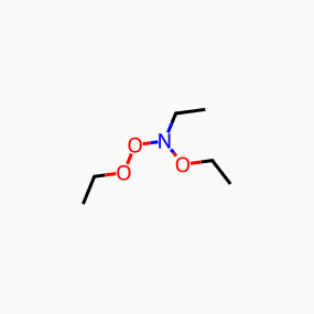 CCOON(CC)OCC